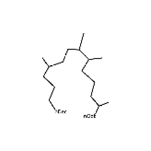 [CH2]C(CCC(C)CCCCCCCCCCCCC)C(C)CCCC(C)CCCCCCCC